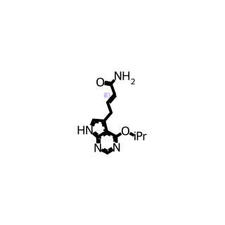 CC(C)Oc1ncnc2[nH]cc(C/C=C/C(N)=O)c12